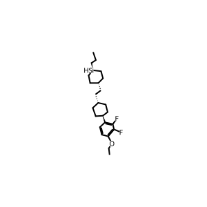 CCC[Si@H]1CC[C@H](CC[C@H]2CC[C@H](c3ccc(OCC)c(F)c3F)CC2)CC1